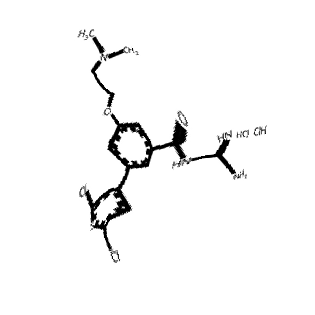 CN(C)CCOc1cc(C(=O)NC(=N)N)cc(-c2cc(Cl)sc2Cl)c1.Cl.Cl